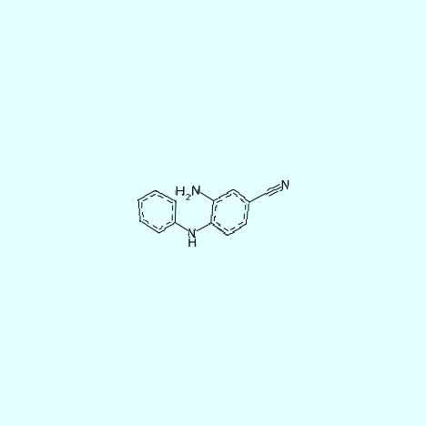 N#Cc1ccc(Nc2ccccc2)c(N)c1